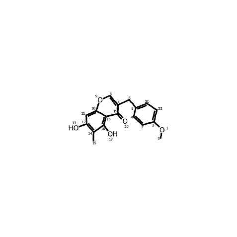 COc1ccc(Cc2coc3cc(O)c(C)c(O)c3c2=O)cc1